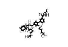 CCCNC(=O)c1cccc(-c2ccc(CNc3nc4ccccc4n3[C@H]3CC[C@@H](CO)O3)cc2OCCCCO)c1